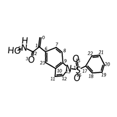 C=C(C(=O)NO)c1ccc2c(ccn2S(=O)(=O)c2ccccc2)c1